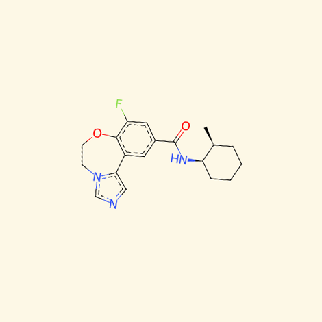 C[C@H]1CCCC[C@H]1NC(=O)c1cc(F)c2c(c1)-c1cncn1CCO2